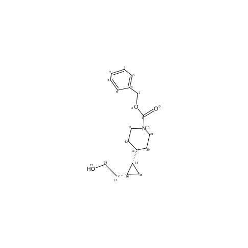 O=C(OCc1ccccc1)N1CCC([C@@H]2C[C@@H]2CCO)CC1